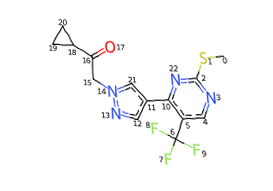 CSc1ncc(C(F)(F)F)c(-c2cnn(CC(=O)C3CC3)c2)n1